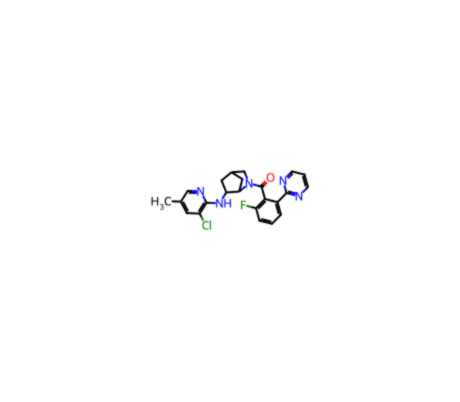 Cc1cnc(NC2CC3CC2N(C(=O)c2c(F)cccc2-c2ncccn2)C3)c(Cl)c1